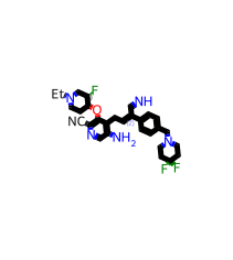 CCN1CCC(Oc2c(C#N)ncc(N)c2C/C=C(\C=N)c2ccc(CN3CCC(F)(F)CC3)cc2)[C@@H](F)C1